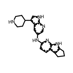 c1nc2[nH]cc(C3CCNCC3)c2cc1Nc1ccc2c3c([nH]c2n1)CCC3